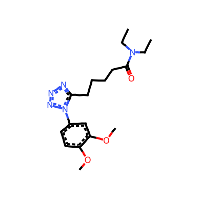 CCN(CC)C(=O)CCCCc1nnnn1-c1ccc(OC)c(OC)c1